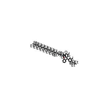 CCC(C)(CC)NOc1c(I)cc2c(-c3ccccc3C(=O)ONC(C)(CC)C(C)(CC)C(C)(CC)C(C)(CC)C(C)(CC)C(C)(CC)C(C)(CC)C(C)(CC)C(C)(CC)C(C)(CC)C(C)(CC)C(C)(CC)C(C)(CC)C(C)(CC)C(C)(CC)C(C)(CC)C(C)(CC)C(C)(CC)CC)c3cc(I)c(=O)c(I)c-3sc2c1I